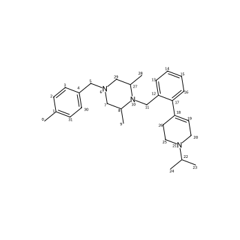 Cc1ccc(CN2CC(C)N(Cc3ccccc3C3=CCN(C(C)C)CC3)C(C)C2)cc1